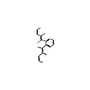 C/C=C\C(C)=C(/I)c1ccccc1/C(C)=C(C)/C=C\C